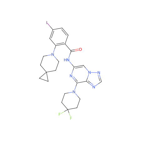 O=C(Nc1cn2ncnc2c(N2CCC(F)(F)CC2)n1)c1ccc(I)cc1N1CCC2(CC1)CC2